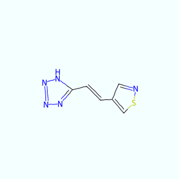 C(=Cc1nnn[nH]1)c1cnsc1